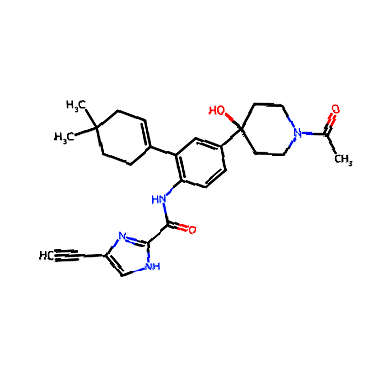 C#Cc1c[nH]c(C(=O)Nc2ccc(C3(O)CCN(C(C)=O)CC3)cc2C2=CCC(C)(C)CC2)n1